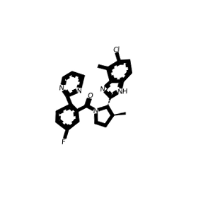 Cc1c(Cl)ccc2[nH]c([C@@H]3[C@@H](C)CCN3C(=O)c3cc(F)ccc3-c3ncccn3)nc12